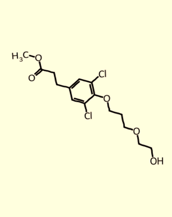 COC(=O)CCc1cc(Cl)c(OCCCOCCO)c(Cl)c1